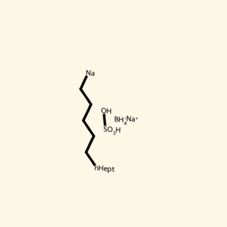 CCCCCCCCCCC[CH2][Na].O=S(=O)(O)O.[BH4-].[Na+]